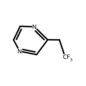 FC(F)(F)Cc1cnccn1